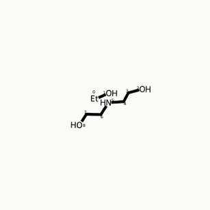 CCO.OCCNCCO